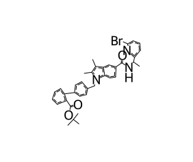 Cc1c(C)n(Cc2ccc(-c3ccccc3C(=O)OC(C)(C)C)cc2)c2ccc(C(=O)NC(C)c3cccc(Br)n3)cc12